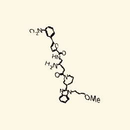 COCCCn1c(C2CCCN(C(=O)CC(N)CNC(=O)c3ccc(-c4cccc([N+](=O)[O-])c4)o3)C2)nc2ccccc21